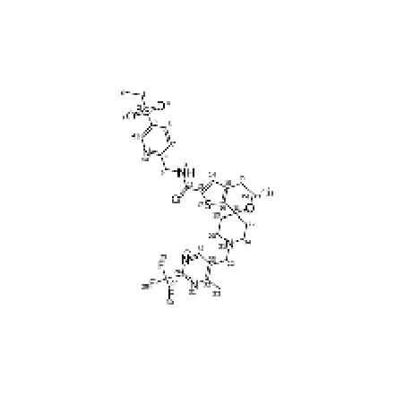 CCS(=O)(=O)c1ccc(CNC(=O)c2cc3c(s2)C2(CCN(Cc4cnc(C(F)(F)F)nc4C)CC2)O[C@@H](C)C3)nc1